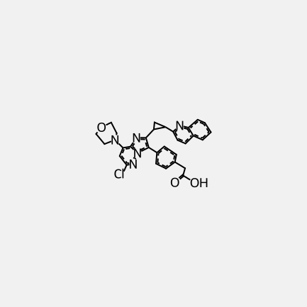 O=C(O)Cc1ccc(-c2c(C3CC3c3ccc4ccccc4n3)nc3c(N4CCOCC4)cc(Cl)nn23)cc1